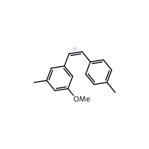 COc1cc(C)cc(/C=C\c2ccc(C)cc2)c1